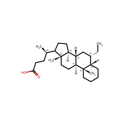 CC[C@H]1C[C@@H]2[C@H](CC[C@]3(C)C([C@H](C)CCC(=O)O)CC[C@@H]23)[C@@]2(C)CCCC[C@@H]12